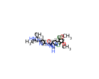 COc1cc(OC)c(Cl)c(-c2ccc3c(C(=O)Nc4ccc(N5C[C@@H](C)N[C@@H](C)C5)nc4)n[nH]c3n2)c1Cl